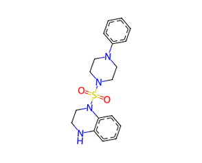 O=S(=O)(N1CCN(c2ccccc2)CC1)N1CCNc2ccccc21